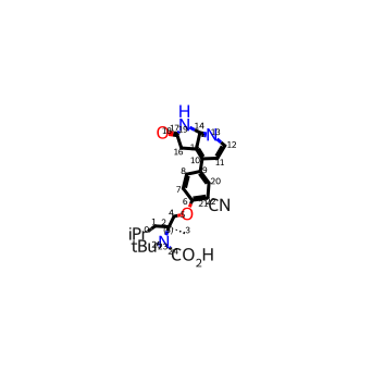 CC(C)C[C@@](C)(COc1ccc(-c2ccnc3c2CC(=O)N3)cc1C#N)N(C(=O)O)C(C)(C)C